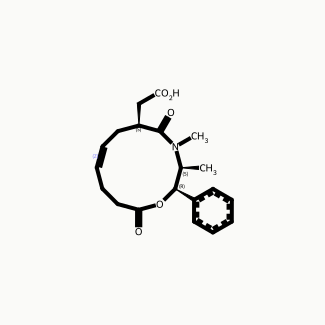 C[C@H]1[C@@H](c2ccccc2)OC(=O)CC/C=C\C[C@@H](CC(=O)O)C(=O)N1C